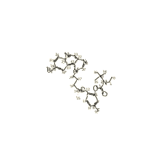 CCN(C(=O)Oc1cc(F)ccc1O[C@H](C)CCCn1cnc2cnc3ccc(Br)cc3c21)C(C)(C)C